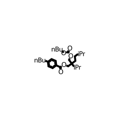 CCCCOC(=O)OCC(CCC(C)C)(COC(=O)c1ccc(CCCC)cc1)C(C)C